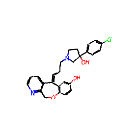 Oc1ccc2c(c1)C(=CCCN1CCC(O)(c3ccc(Cl)cc3)C1)c1cccnc1CO2